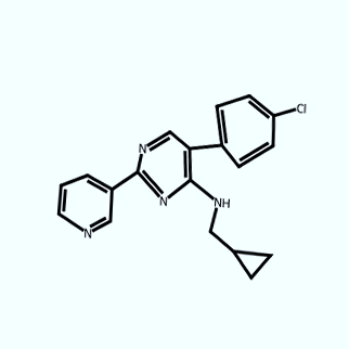 Clc1ccc(-c2cnc(-c3cccnc3)nc2NCC2CC2)cc1